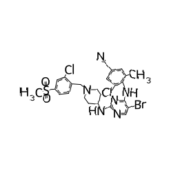 Cc1cc(C#N)cc(Cl)c1Nc1nc(NC2CCN(Cc3ccc(S(C)(=O)=O)cc3Cl)CC2)ncc1Br